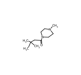 CN1CCN(C(=O)CC(C)(C)C)CC1